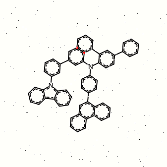 c1ccc(-c2ccc(N(c3ccc(-c4cc5ccccc5c5ccccc45)cc3)c3cccc(-c4cccc(-n5c6ccccc6c6ccccc65)c4)c3)c(-c3ccccc3)c2)cc1